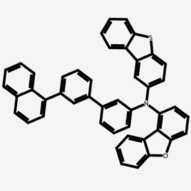 c1cc(-c2cccc(N(c3ccc4sc5ccccc5c4c3)c3cccc4oc5ccccc5c34)c2)cc(-c2cccc3ccccc23)c1